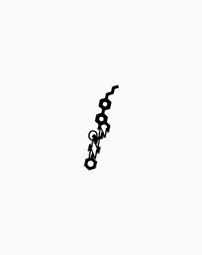 CCCCc1ccc(-c2ccc3c(c2)CCN(CC(=O)N2CCN(C4CCCCC4)CC2)C3)cc1